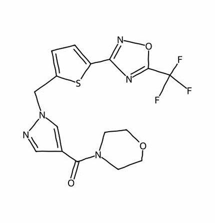 O=C(c1cnn(Cc2ccc(-c3noc(C(F)(F)F)n3)s2)c1)N1CCOCC1